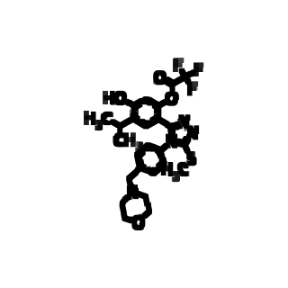 CSc1nnc(-c2cc(C(C)C)c(O)cc2OC(=O)C(F)(F)F)n1-c1ccc(CN2CCOCC2)cc1